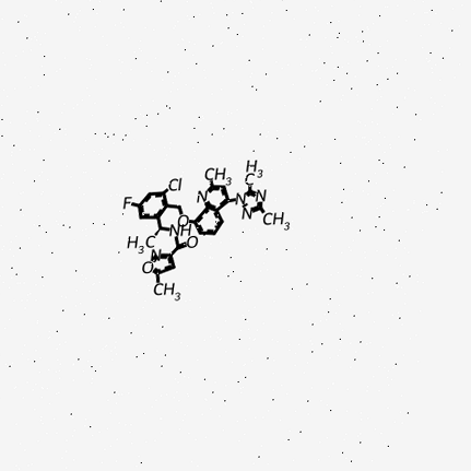 Cc1cc(-n2nc(C)nc2C)c2cccc(OCc3c(Cl)cc(F)cc3[C@H](C)NC(=O)c3cc(C)on3)c2n1